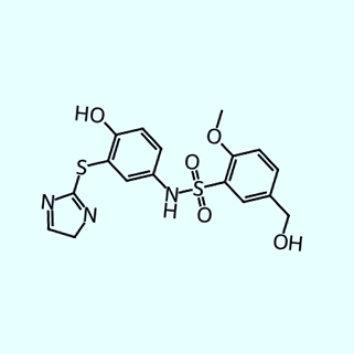 COc1ccc(CO)cc1S(=O)(=O)Nc1ccc(O)c(SC2=NCC=N2)c1